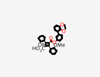 COc1ccccc1[C@H]1[C@H](C(=O)O)[C@H](c2ccccc2OC)[C@@H]1C(=O)Oc1cccc(-c2cccc3c2OCCO3)c1